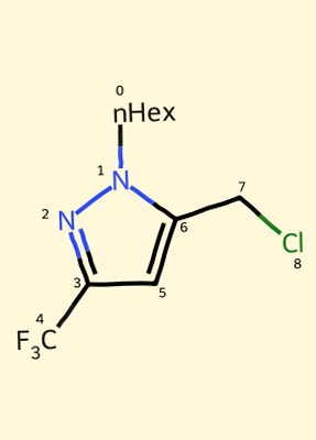 CCCCCCn1nc(C(F)(F)F)cc1CCl